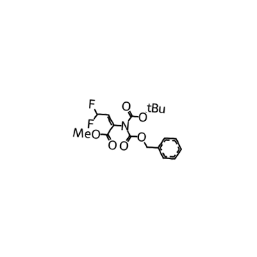 COC(=O)C(=CC(F)F)N(C(=O)OCc1ccccc1)C(=O)OC(C)(C)C